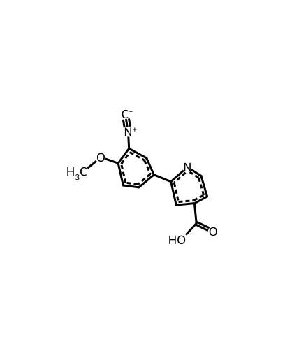 [C-]#[N+]c1cc(-c2cc(C(=O)O)ccn2)ccc1OC